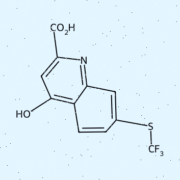 O=C(O)c1cc(O)c2ccc(SC(F)(F)F)cc2n1